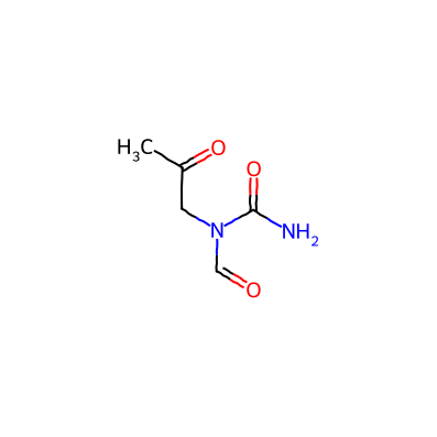 CC(=O)CN(C=O)C(N)=O